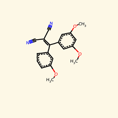 COc1cccc(C(=C(C#N)C#N)c2cc(OC)cc(OC)c2)c1